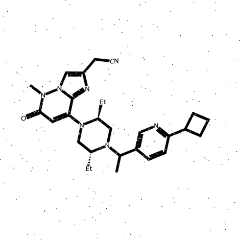 CC[C@H]1CN(C(C)c2ccc(C3CCC3)nc2)[C@H](CC)CN1c1cc(=O)n(C)n2cc(CC#N)nc12